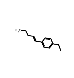 CCCC=Cc1ccc(CI)cc1